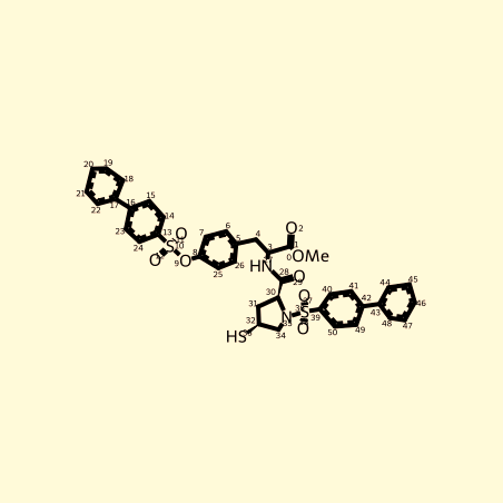 COC(=O)C(Cc1ccc(OS(=O)(=O)c2ccc(-c3ccccc3)cc2)cc1)NC(=O)[C@@H]1C[C@H](S)CN1S(=O)(=O)c1ccc(-c2ccccc2)cc1